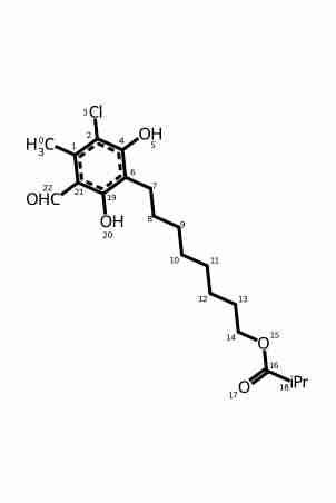 Cc1c(Cl)c(O)c(CCCCCCCCOC(=O)C(C)C)c(O)c1C=O